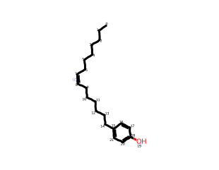 CCCCCCC/C=C\CCCCCCc1ccc(O)cc1